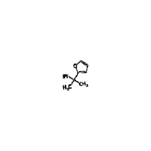 CC(C)C(C)(C)c1ccco1